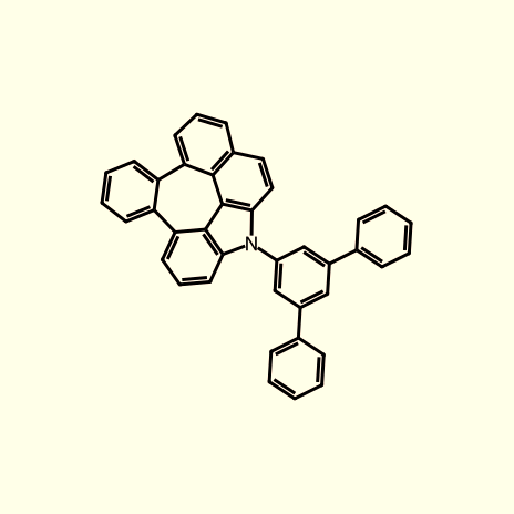 c1ccc(-c2cc(-c3ccccc3)cc(-n3c4cccc5c4c4c6c(cccc6ccc43)-c3ccccc3-5)c2)cc1